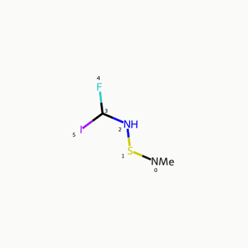 CNSNC(F)I